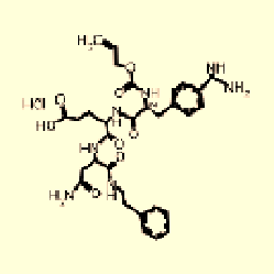 C=CCOC(=O)N[C@@H](Cc1ccc(C(=N)N)cc1)C(=O)NC(CCC(=O)O)C(=O)NC(CC(N)=O)C(=O)NCCc1ccccc1.Cl